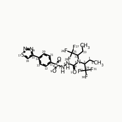 CCC(N(C(=O)NNS(=O)(=O)c1ccc(-c2csnn2)cc1)C(CC)C(F)(F)F)C(F)(F)F